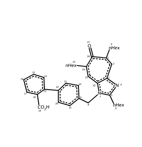 CCCCCCc1cc2nc(CCCCCC)n(Cc3ccc(-c4ccccc4C(=O)O)cc3)c2cc(CCCCCC)c1=O